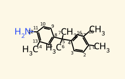 Cc1ccc(C(C)(C)c2ccc(N)c(C)c2)cc1C